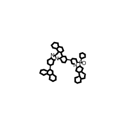 O=P(c1ccccc1)(c1ccc2c(ccc3ccccc32)c1)c1ccc(-c2ccc3c(c2)c2ccc4ccccc4c2c2nc4ccc(-c5cc6ccccc6c6ccccc56)cc4n32)cn1